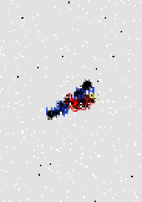 BP(=O)(OC[C@H]1O[C@@H](n2cnc3c(NCc4ccccc4)ncnc32)C[C@@H]1O)O[C@@H]([C@@H](O)n1cnc2c(NCc3ccccc3)ncnc21)[C@@H](COP(=O)(S)OC)OC